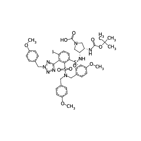 COc1ccc(CN(Cc2ccc(OC)cc2)S(=O)(=O)c2c([S+]([O-])N[C@@H]3CN(C(=O)O)C[C@@H]3NC(=O)OC(C)(C)C)ccc(I)c2-c2nnn(Cc3ccc(OC)cc3)n2)cc1